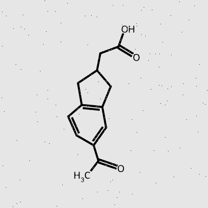 CC(=O)c1ccc2c(c1)CC(CC(=O)O)C2